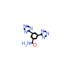 NC(=O)c1cc(-c2ncncn2)cc(-c2ncncn2)c1